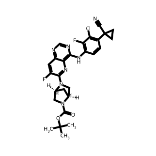 CC(C)(C)OC(=O)N1C[C@@H]2C[C@H]1CN2c1nc2c(Nc3ccc(C4(C#N)CC4)c(Cl)c3F)ncnc2cc1F